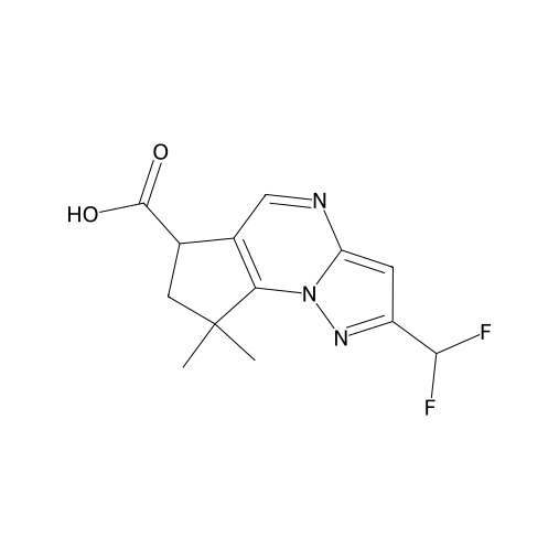 CC1(C)CC(C(=O)O)c2cnc3cc(C(F)F)nn3c21